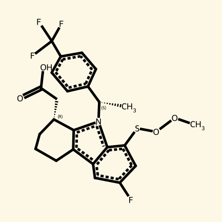 COOSc1cc(F)cc2c3c(n([C@@H](C)c4ccc(C(F)(F)F)cc4)c12)[C@@H](CC(=O)O)CCC3